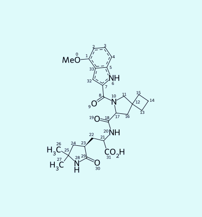 COc1cccc2[nH]c(C(=O)N3CC4(CCC4)CC3C(=O)NC(C[C@@H]3CC(C)(C)NC3=O)C(=O)O)cc12